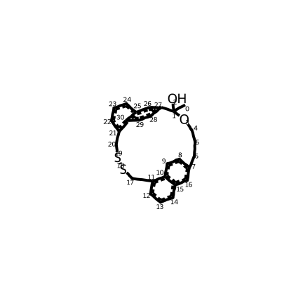 CC1(O)OCCCc2ccc3c(cccc3c2)CSSCc2cccc3cc1ccc23